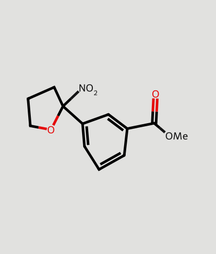 COC(=O)c1cccc(C2([N+](=O)[O-])CCCO2)c1